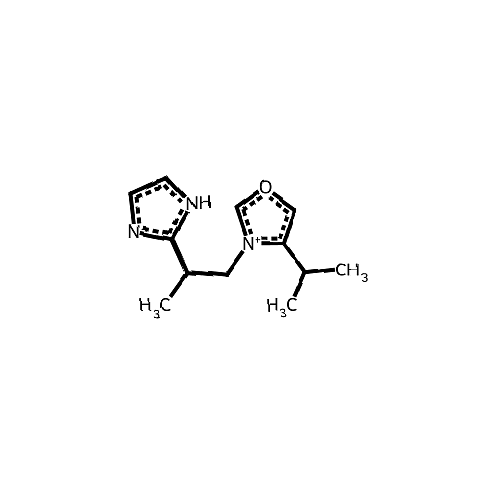 CC(C)c1coc[n+]1CC(C)c1ncc[nH]1